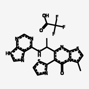 Cc1csc2nc(C(C)Nc3ncnc4[nH]cnc34)c(-c3nccs3)c(=O)n12.O=C(O)C(F)(F)F